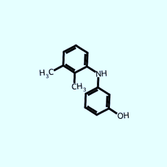 Cc1cccc(Nc2cccc(O)c2)c1C